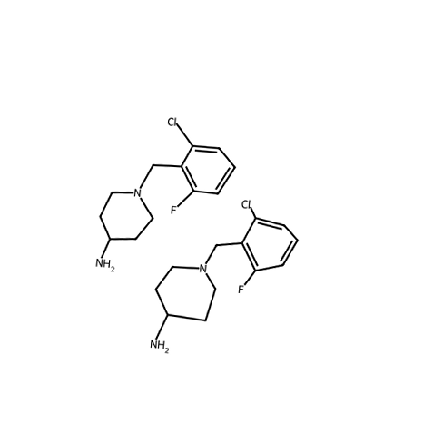 NC1CCN(Cc2c(F)cccc2Cl)CC1.NC1CCN(Cc2c(F)cccc2Cl)CC1